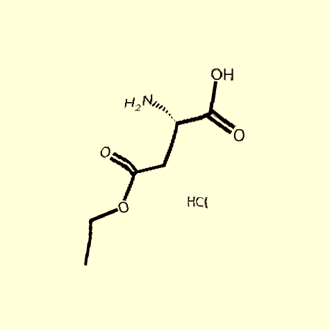 CCOC(=O)C[C@H](N)C(=O)O.Cl